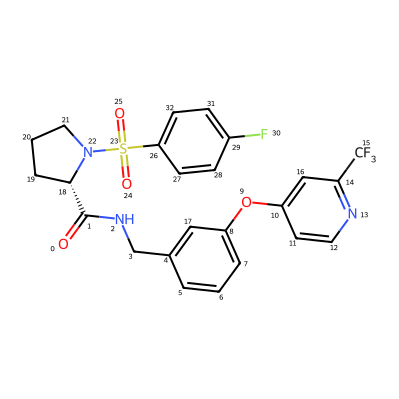 O=C(NCc1cccc(Oc2ccnc(C(F)(F)F)c2)c1)[C@@H]1CCCN1S(=O)(=O)c1ccc(F)cc1